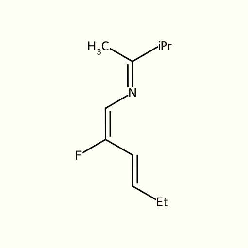 CC/C=C/C(F)=C\N=C(/C)C(C)C